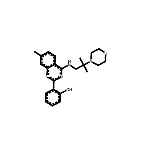 Cc1ccc2c(NCC(C)(C)N3CCOCC3)nc(-c3ccccc3O)nc2c1